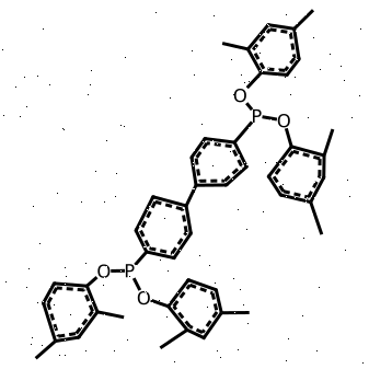 Cc1ccc(OP(Oc2ccc(C)cc2C)c2ccc(-c3ccc(P(Oc4ccc(C)cc4C)Oc4ccc(C)cc4C)cc3)cc2)c(C)c1